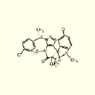 C[C@@H](c1ccc(Cl)cc1)n1nnc2c1N(C)C(=O)C(C)(C)[C@]21C(=O)N(C)c2ccc(Cl)cc21